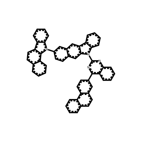 c1ccc2c(c1)ccc1cc(-c3nc(-n4c5ccccc5c5cc6cc(-n7c8ccccc8c8ccc9ccccc9c87)ccc6cc54)nc4ccccc34)ccc12